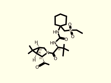 CCS(=O)(=O)CC1(NC(=O)N[C@H](C(=O)N2C[C@H]3[C@@H]([C@H]2C(C)=O)C3(C)C)C(C)(C)C)CCCCC1